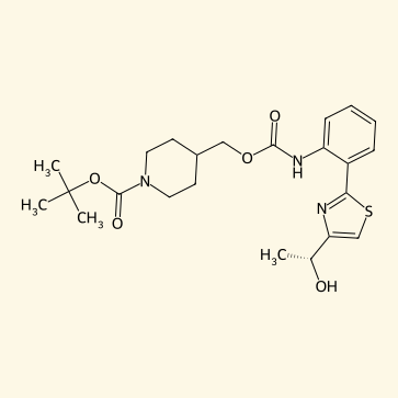 C[C@@H](O)c1csc(-c2ccccc2NC(=O)OCC2CCN(C(=O)OC(C)(C)C)CC2)n1